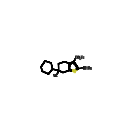 CCOC(=O)c1c(NC(C)=O)sc2c1CCC(C#N)(C1CCCCC1)C2